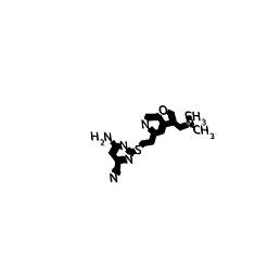 CN(C)Cc1coc2cnc(CCSc3nc(N)cc(C#N)n3)cc12